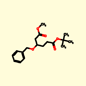 COC(=O)CC(CCC(=O)OC(C)(C)C)OCc1ccccc1